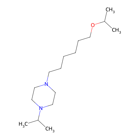 CC(C)OCCCCCCN1CCN(C(C)C)CC1